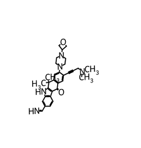 CN(C)CC#Cc1cc2c(cc1N1CCN(C3COC3)CC1)C(C)(C)c1[nH]c3cc(C=N)ccc3c1C2=O